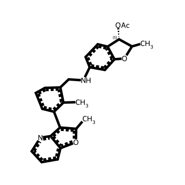 CC(=O)O[C@H]1c2ccc(NCc3cccc(-c4c(C)oc5cccnc45)c3C)cc2OC1C